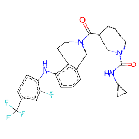 O=C(NC1CC1)N1CCCC(C(=O)N2CCc3c(cccc3Nc3ccc(C(F)(F)F)cc3F)C2)C1